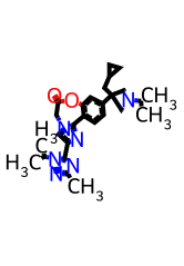 Cc1nc(-c2cn3c(n2)-c2ccc(C4(CC5CC5)CN(C(C)C)C4)cc2OC(=O)C3)n(C(C)C)n1